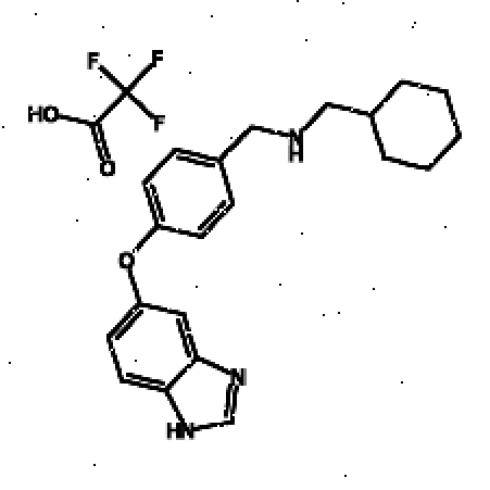 O=C(O)C(F)(F)F.c1nc2cc(Oc3ccc(CNCC4CCCCC4)cc3)ccc2[nH]1